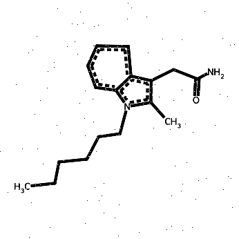 CCCCCCn1c(C)c(CC(N)=O)c2c[c]ccc21